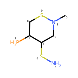 CN1CC(SN)C(P)CS1